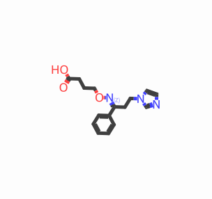 O=C(O)CCCO/N=C(/CCn1ccnc1)c1ccccc1